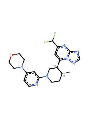 C[C@@H]1CCN(c2cc(N3CCOCC3)ccn2)C[C@H]1c1cc(C(F)F)nc2ncnn12